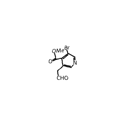 COC(=O)c1c(Br)cncc1CC=O